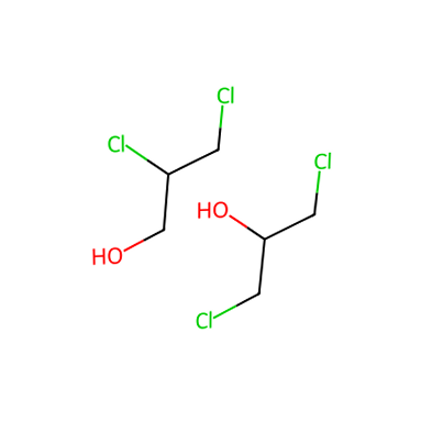 OC(CCl)CCl.OCC(Cl)CCl